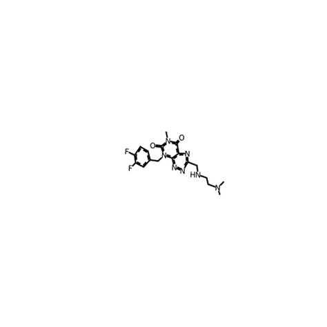 CN(C)CCNCc1nnc2c(n1)c(=O)n(C)c(=O)n2Cc1ccc(F)c(F)c1